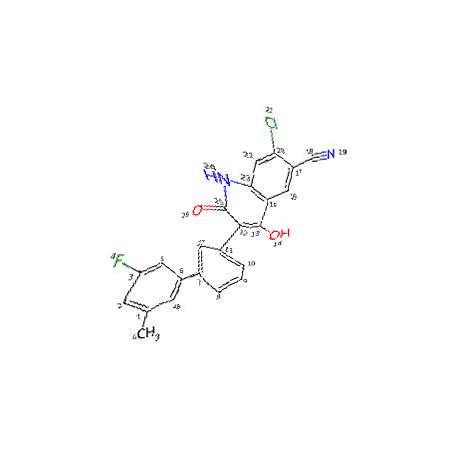 Cc1cc(F)cc(-c2cccc(-c3c(O)c4cc(C#N)c(Cl)cc4[nH]c3=O)c2)c1